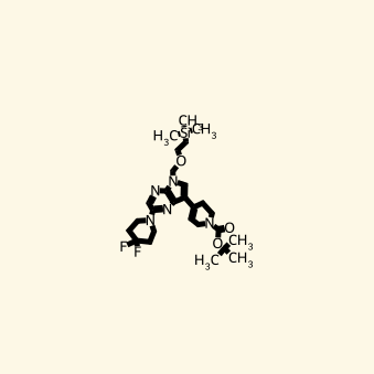 CC(C)(C)OC(=O)N1CC=C(c2cn(COCC[Si](C)(C)C)c3ncc(N4CCC(F)(F)CC4)nc23)CC1